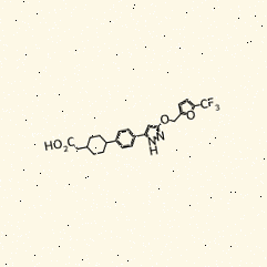 O=C(O)CC1CCC(c2ccc(-c3cc(OCc4ccc(C(F)(F)F)o4)n[nH]3)cc2)CC1